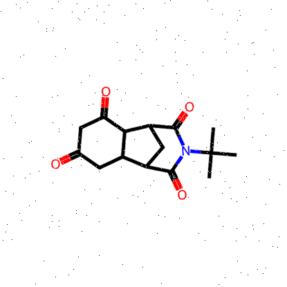 CC(C)(C)N1C(=O)C2CC(C1=O)C1C(=O)CC(=O)CC21